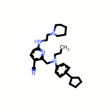 CCCN(Cc1nc(NCCN2CCCCC2)ccc1C#N)c1ccc(C2CCCC2)cc1